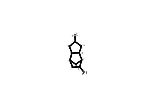 CCC1CC2C3CC(CC)C(C3)C2C1